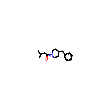 CC(C)[CH]C(=O)N1CCC(Cc2ccccc2)CC1